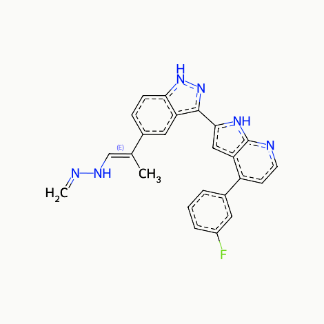 C=NN/C=C(\C)c1ccc2[nH]nc(-c3cc4c(-c5cccc(F)c5)ccnc4[nH]3)c2c1